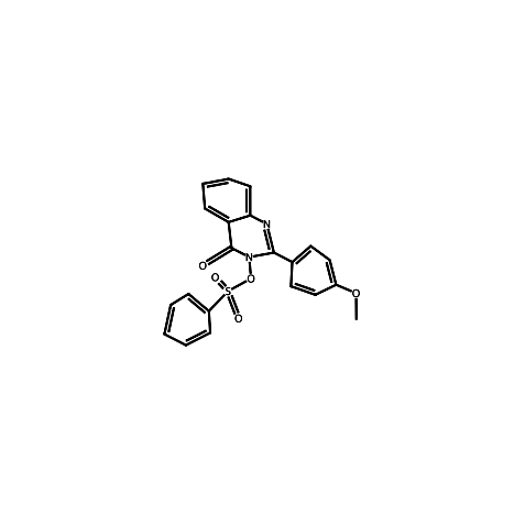 COc1ccc(-c2nc3ccccc3c(=O)n2OS(=O)(=O)c2ccccc2)cc1